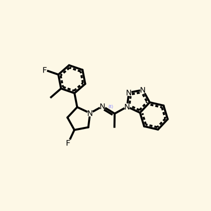 C/C(=N\N1CC(F)CC1c1cccc(F)c1C)n1nnc2ccccc21